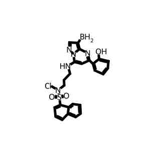 Bc1cnn2c(NCCCN(Cl)S(=O)(=O)c3cccc4ccccc34)cc(-c3ccccc3O)nc12